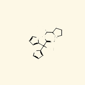 C[C@H](OC(=O)C(O)(c1cccs1)c1cccs1)C1CCCN1